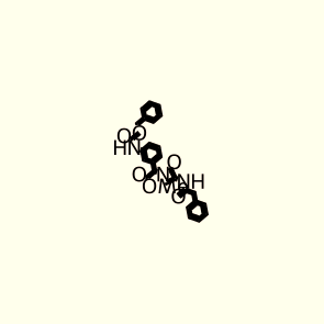 COC(=O)C(c1cccc(NC(=O)OCc2ccccc2)c1)N1CC(NC(=O)Cc2ccccc2)C1=O